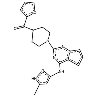 Cc1cc(Nc2nc(N3CCN(C(=O)c4ccco4)CC3)nn3cccc23)n[nH]1